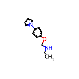 CCNCOc1ccc(-n2cccc2)cc1